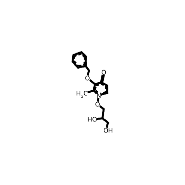 Cc1c(OCc2ccccc2)c(=O)ccn1OCC(O)CO